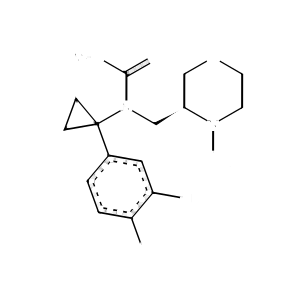 COC(=O)N(C[C@H]1COCCN1C(=O)O)C1(c2ccc(F)c(C(F)(F)F)c2)CC1